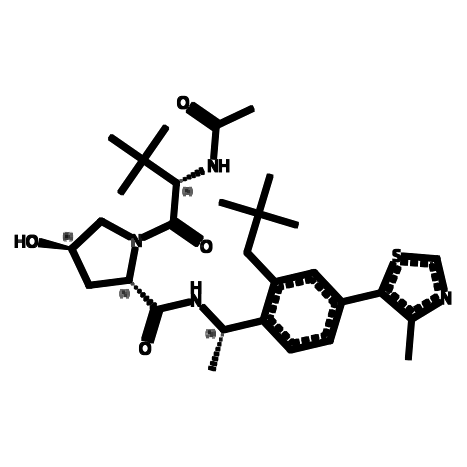 CC(=O)N[C@H](C(=O)N1C[C@H](O)C[C@H]1C(=O)N[C@@H](C)c1ccc(-c2scnc2C)cc1CC(C)(C)C)C(C)(C)C